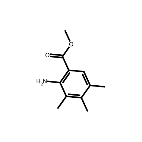 COC(=O)c1cc(C)c(C)c(C)c1N